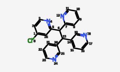 Clc1ccnc(C(c2ccccn2)C(c2cccnc2)c2cccnc2)c1